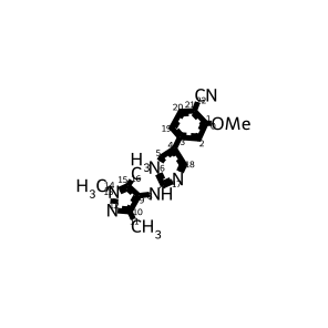 COc1cc(-c2cnc(Nc3c(C)nn(C)c3C)nc2)ccc1C#N